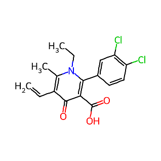 C=Cc1c(C)n(CC)c(-c2ccc(Cl)c(Cl)c2)c(C(=O)O)c1=O